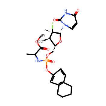 CC(=O)O[C@@H]1[C@@H](CO[P@@](=O)(N[C@@H](C)C(=O)OC(C)C)Oc2ccc3c(c2)CCCC3)O[C@@H](n2ccc(=O)[nH]c2=O)[C@]1(C)F